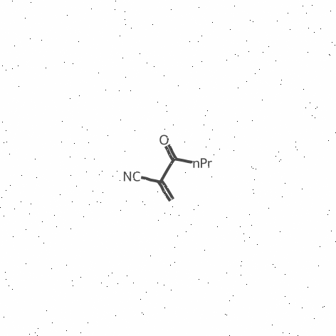 C=C(C#N)C(=O)CCC